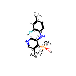 Cc1ccc(Nc2cncc(C)c2P(C)(C)=O)c(F)c1